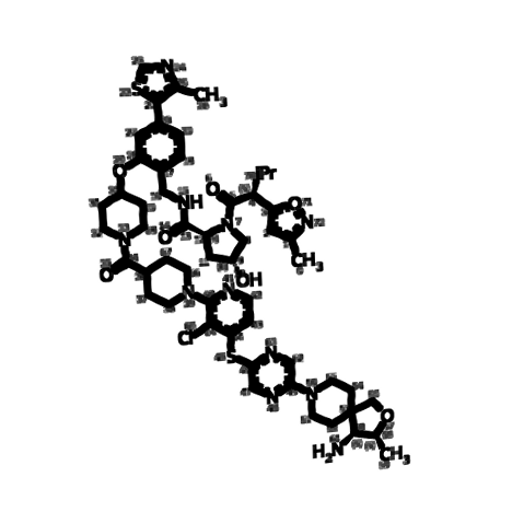 Cc1cc([C@@H](C(=O)N2C[C@H](O)C[C@H]2C(=O)NCc2ccc(-c3scnc3C)cc2OC2CCN(C(=O)C3CCN(c4nccc(Sc5cnc(N6CCC7(CC6)CO[C@@H](C)[C@H]7N)cn5)c4Cl)CC3)CC2)C(C)C)on1